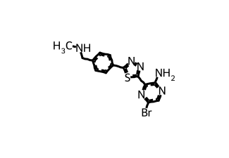 CNCc1ccc(-c2nnc(-c3nc(Br)cnc3N)s2)cc1